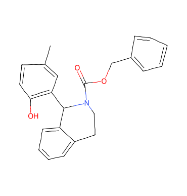 Cc1ccc(O)c(C2c3ccccc3CCN2C(=O)OCc2ccccc2)c1